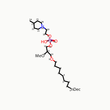 CCCCCCCCCCCCCCCCCCOCC(COP(=O)(O)OCCN1CCC(C)CC1)OC